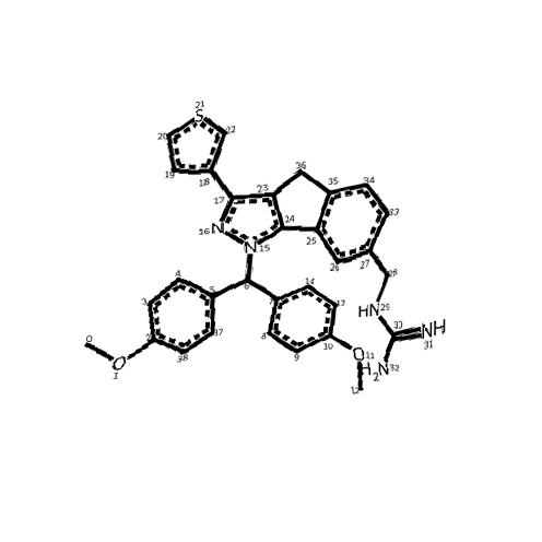 COc1ccc(C(c2ccc(OC)cc2)n2nc(-c3ccsc3)c3c2-c2cc(CNC(=N)N)ccc2C3)cc1